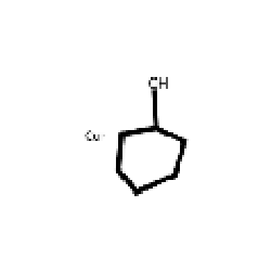 OC1CCCCC1.[Cu]